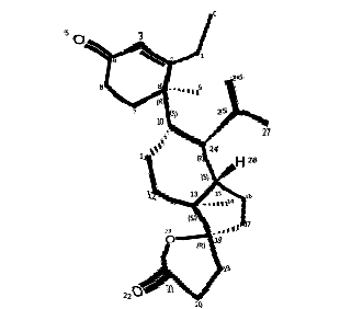 CCC1=CC(=O)CC[C@]1(C)[C@H]1CC[C@@]2(C)[C@@H](CC[C@@]23CCC(=O)O3)[C@@H]1C(C)C